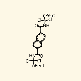 CCCCCC(Cl)(Cl)NC(=O)c1ccc2cc(C(=O)NC(Cl)(Cl)CCCCC)ccc2c1